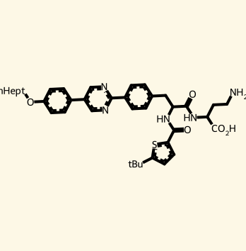 CCCCCCCOc1ccc(-c2cnc(-c3ccc(CC(NC(=O)c4ccc(C(C)(C)C)s4)C(=O)NC(CCN)C(=O)O)cc3)nc2)cc1